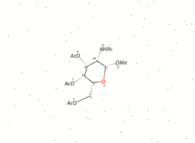 CO[C@@H]1O[C@H](COC(C)=O)[C@H](OC(C)=O)[C@H](OC(C)=O)[C@@H]1NC(C)=O